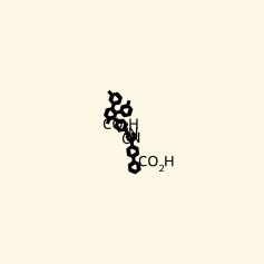 Cc1cccc(-c2ccc(C(=O)O)c(-c3ccc(-c4nnc(-c5ccc(-c6ccccc6C(=O)O)cc5)o4)cc3)c2-c2cccc(C)c2)c1